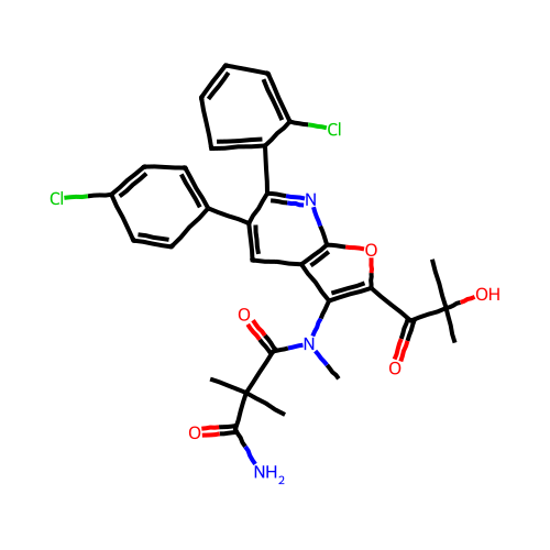 CN(C(=O)C(C)(C)C(N)=O)c1c(C(=O)C(C)(C)O)oc2nc(-c3ccccc3Cl)c(-c3ccc(Cl)cc3)cc12